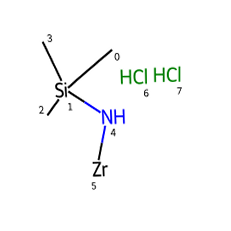 C[Si](C)(C)[NH][Zr].Cl.Cl